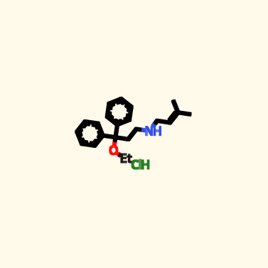 CCOC(CCNCC=C(C)C)(c1ccccc1)c1ccccc1.Cl